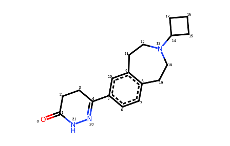 O=C1CCC(c2ccc3c(c2)CCN(C2CCC2)CC3)=NN1